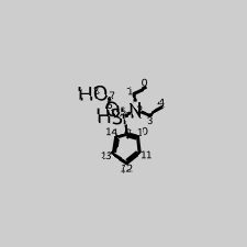 CCN(CC)[SiH](OCO)c1ccccc1